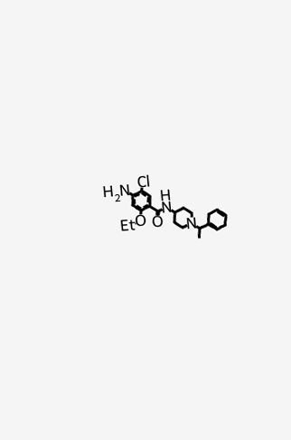 CCOc1cc(N)c(Cl)cc1C(=O)NC1CCN(C(C)C2=CCC=CC2)CC1